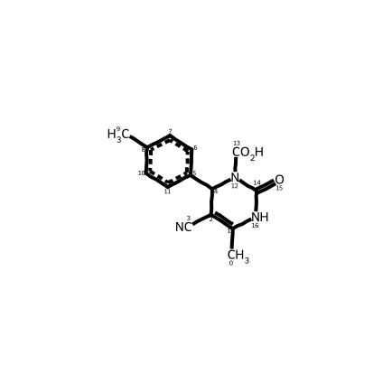 CC1=C(C#N)C(c2ccc(C)cc2)N(C(=O)O)C(=O)N1